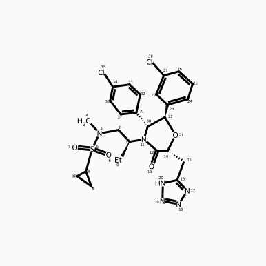 CC[C@@H](CN(C)S(=O)(=O)C1CC1)N1C(=O)[C@@H](Cc2nnn[nH]2)O[C@H](c2cccc(Cl)c2)[C@H]1c1ccc(Cl)cc1